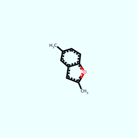 Cc1ccc2oc(C)cc2c1